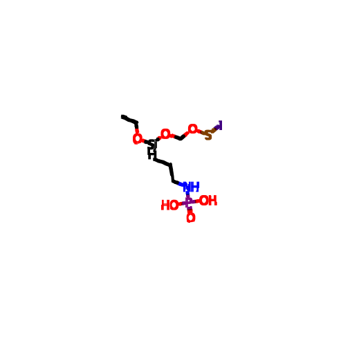 CCO[SiH](CCCNP(=O)(O)O)OCOSI